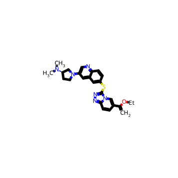 C=C(OCC)c1ccc2nnc(Sc3ccc4ncc(N5CC[C@H](N(C)C)C5)cc4c3)n2c1